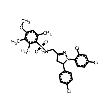 COc1cc(C)c(S(=O)(=O)NCC2=NN(c3ccc(Cl)cc3Cl)C(c3ccc(Cl)cc3)C2)c(C)c1C